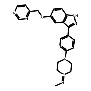 CN=S1CCN(c2ccc(-c3n[nH]c4ccc(OCc5ccncn5)cc34)cn2)CC1